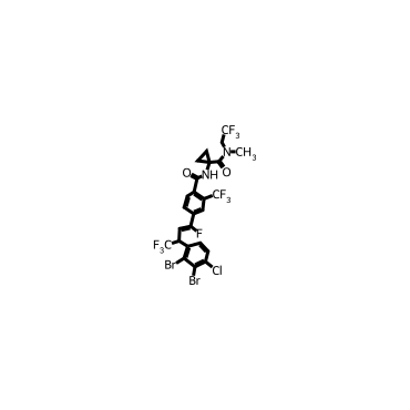 CN(CC(F)(F)F)C(=O)C1(NC(=O)c2ccc(C(F)=CC(c3ccc(Cl)c(Br)c3Br)C(F)(F)F)cc2C(F)(F)F)CC1